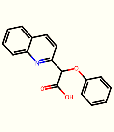 O=C(O)C(Oc1ccccc1)c1ccc2ccccc2n1